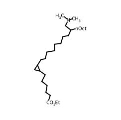 CCCCCCCCC(CCCCCCCCC1CC1CCCCCC(=O)OCC)CN(C)C